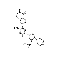 CCN(C)Cc1cc(-c2nc(-c3ccc4c(c3)CCNC4=O)c(N)nc2F)ccc1C1CCOCC1